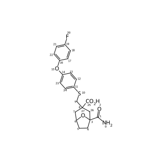 NC(=O)C12CCC(CC(CSc3ccc(Oc4ccc(F)cc4)cc3)(C(=O)O)C1)O2